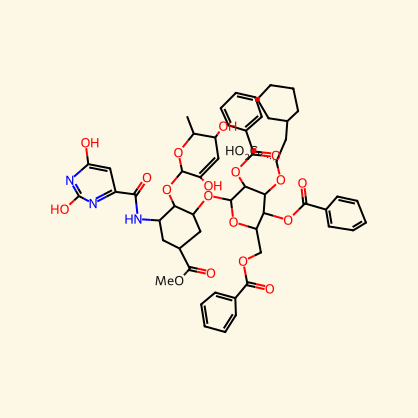 COC(=O)C1CC(NC(=O)c2cc(O)nc(O)n2)C(OC2OC(C)C(O)C=C2O)C(OC2OC(COC(=O)c3ccccc3)C(OC(=O)c3ccccc3)C(O[C@@H](CC3CCCCC3)C(=O)O)C2OC(=O)c2ccccc2)C1